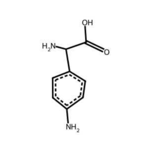 Nc1ccc(C(N)C(=O)O)cc1